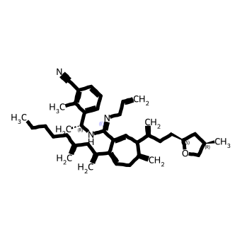 C=CC/N=C(/N[C@H](C)c1cccc(C#N)c1C)C1=CC(C(=C)CC[C@H]2C[C@@H](C)CO2)C(=C)CC=C1C(=C)CC(=C)CCCCC